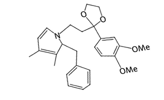 COc1ccc(C2(CCN3C=CC(C)=C(C)C3Cc3ccccc3)OCCO2)cc1OC